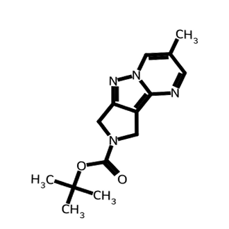 Cc1cnc2c3c(nn2c1)CN(C(=O)OC(C)(C)C)C3